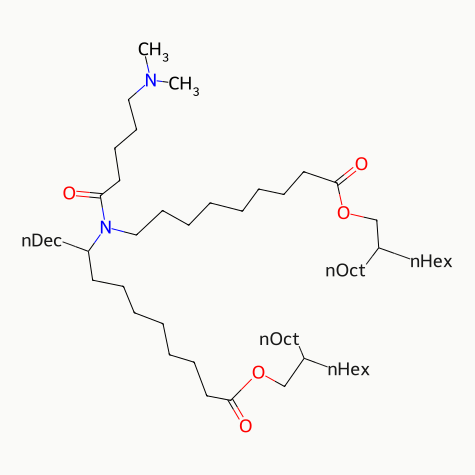 CCCCCCCCCCC(CCCCCCCC(=O)OCC(CCCCCC)CCCCCCCC)N(CCCCCCCCC(=O)OCC(CCCCCC)CCCCCCCC)C(=O)CCCCN(C)C